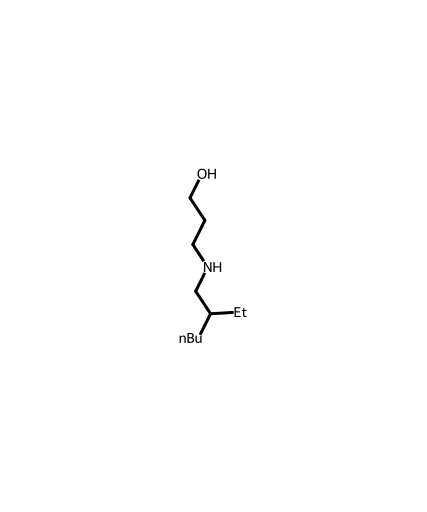 CCCCC(CC)CNCCCO